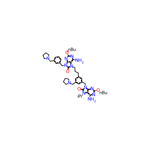 CCCCOc1nc(N)c2c(n1)n(Cc1cccc(CN3CCCC3)c1)c(=O)n2CCCc1cc(CN2CCCC2)cc(Cn2c(=O)n(C(C)C)c3c(N)nc(OCCCC)nc32)c1